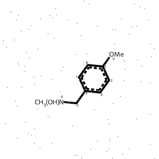 COc1ccc(CN(C)O)cc1